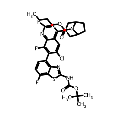 CCCCOC(=O)N1C2CCC1CN(c1nc(F)nc3c(F)c(-c4ccc(F)c5sc(NC(=O)OC(C)(C)C)nc45)c(Cl)cc13)C2